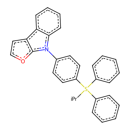 CC(C)S(c1ccccc1)(c1ccccc1)c1ccc(-n2c3ccccc3c3ccoc32)cc1